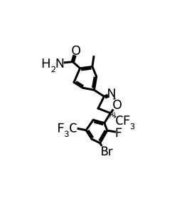 Cc1cc(C2=NO[C@](c3cc(C(F)(F)F)cc(Br)c3F)(C(F)(F)F)C2)ccc1C(N)=O